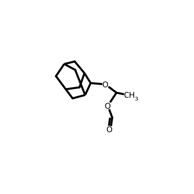 CC(OC=O)OC1C2CC3CC(C2)CC1C3